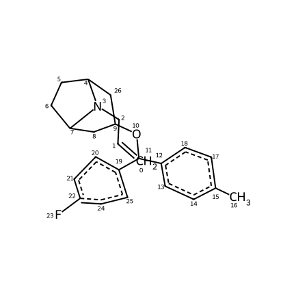 C=CCN1C2CCC1CC(OC(c1ccc(C)cc1)c1ccc(F)cc1)C2